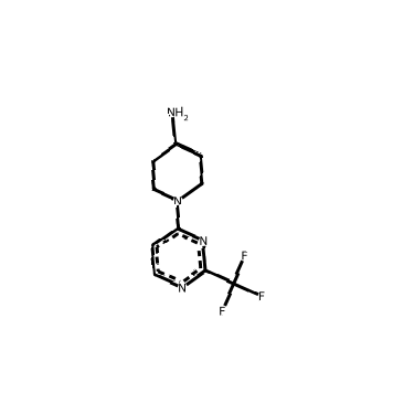 NC1CCN(c2ccnc(C(F)(F)F)n2)CC1